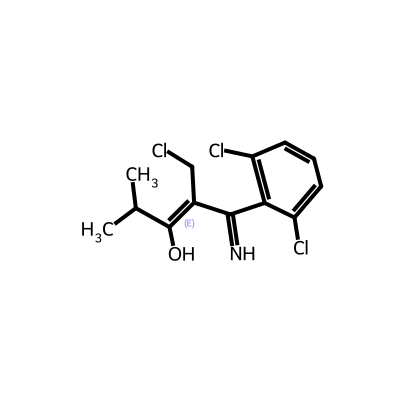 CC(C)/C(O)=C(\CCl)C(=N)c1c(Cl)cccc1Cl